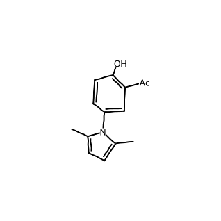 CC(=O)c1cc(-n2c(C)ccc2C)ccc1O